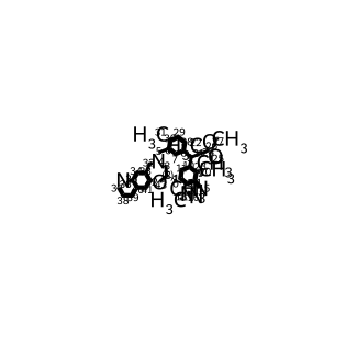 CC[C@H]1CN(Cc2cc(C(c3ccc4c(nnn4C)c3C)C(C)(C)C(=O)OC)ccc2C)Cc2cc3ncccc3cc2O1